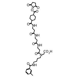 Cc1cccc(C(=O)NCCCCN(CC(=O)O)C(=O)CCNC(=O)CCNC(=O)CCNC(=O)C2CCC(C(=O)ON3C(=O)CCC3=O)CC2)c1